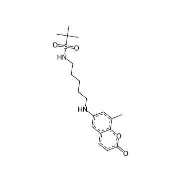 Cc1cc(NCCCCCNS(=O)(=O)C(C)(C)C)cc2ccc(=O)oc12